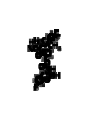 CC(CC(C)(C)N1CCC(F)(F)C1)C(C#N)C(=O)N1C2CCC1(COC(=O)N[C@@H](Cc1ccc(F)cc1)B(O)O)CC2